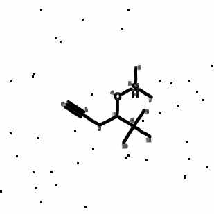 C#CCC(O[SiH](C)C)C(C)(C)C